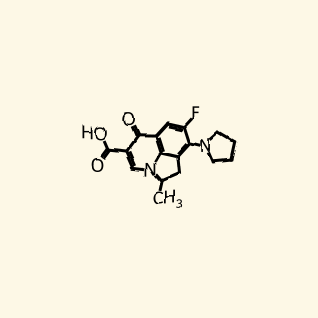 CC1Cc2c(N3CCCC3)c(F)cc3c(=O)c(C(=O)O)cn1c23